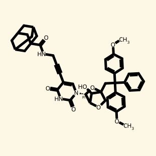 COc1ccc(C(CC23COC(C2O)[C@H](n2cc(C#CCNC(=O)C45CC6CC(CC(C6)C4)C5)c(=O)[nH]c2=O)O3)(c2ccccc2)c2ccc(OC)cc2)cc1